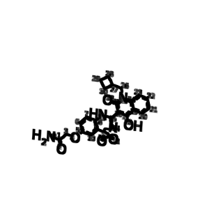 NC(=O)COc1ccc2c(c1)S(=O)(=O)N=C(c1c(O)c3ccccc3n(CC3CCC3)c1=O)N2